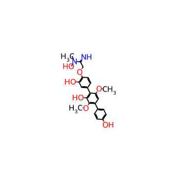 COc1cc(-c2ccc(O)cc2)c(OC)c(O)c1-c1ccc(OCC(=N)N(C)O)c(O)c1